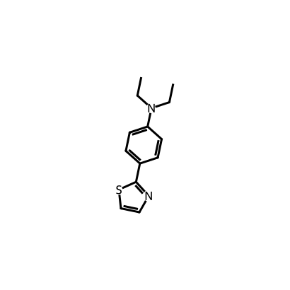 CCN(CC)c1ccc(-c2nccs2)cc1